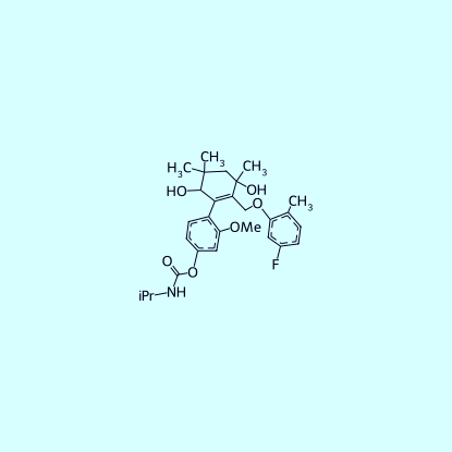 COc1cc(OC(=O)NC(C)C)ccc1C1=C(COc2cc(F)ccc2C)C(C)(O)CC(C)(C)C1O